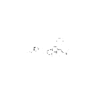 C/C(=C\c1c(N2CCOCC2)nc2cc(CCc3nc(C(C)C)cs3)ccn2c1=O)C(=O)O